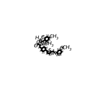 COc1ccnc(NCc2ccc(-c3ccc(CC(NC(=O)c4c(C)cc(C)cc4C)C(=O)O)cc3)s2)c1